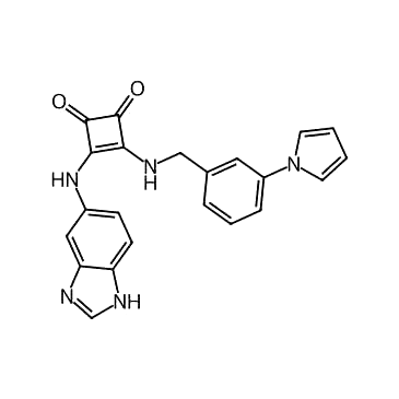 O=c1c(NCc2cccc(-n3cccc3)c2)c(Nc2ccc3[nH]cnc3c2)c1=O